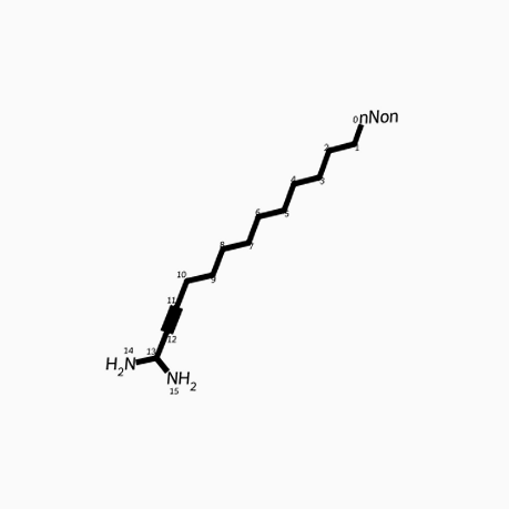 CCCCCCCCCCCCCCCCCCCC#CC(N)N